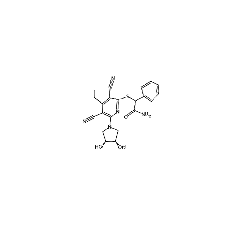 CCc1c(C#N)c(SC(C(N)=O)c2ccccc2)nc(N2C[C@@H](O)[C@@H](O)C2)c1C#N